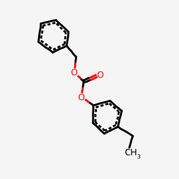 CCc1ccc(OC(=O)OCc2ccccc2)cc1